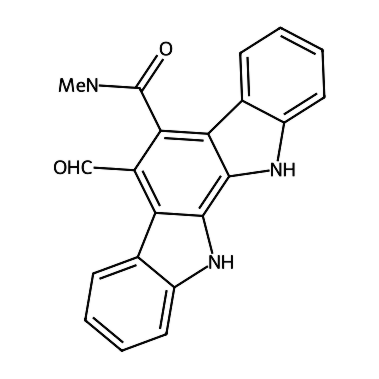 CNC(=O)c1c(C=O)c2c3ccccc3[nH]c2c2[nH]c3ccccc3c12